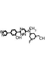 CC[C@H]1C[C@@H](F)C[C@H](N(C)c2cnc(-c3ccc(-c4cn[nH]c4)cc3O)nn2)C1